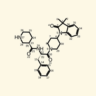 CC1(C)C(=O)N(C2CCN(C(=O)[C@H](Cc3ccccc3)NC(=O)[C@@H]3CCCNC3)CC2)c2ccccc21